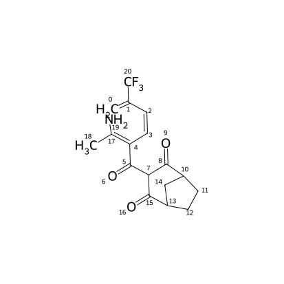 C=C(/C=C\C(C(=O)C1C(=O)C2CCC(C2)C1=O)=C(\C)N)C(F)(F)F